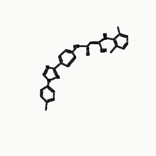 Cc1ccc(-n2cnc(-c3ccc(NC(=O)/C=C(\O)Nc4c(C)cccc4C)cc3)n2)cc1